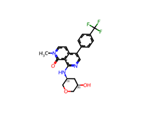 Cn1ccc2c(-c3ccc(C(F)(F)F)cc3)cnc(N[C@@H]3COC[C@H](O)C3)c2c1=O